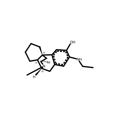 CCNc1cc2c(cc1O)[C@@]13CCCC[C@@H]1[C@@H](C2)N(C)CC3